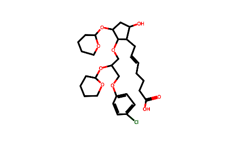 O=C(O)CCCC=CCC1C(O)CC(OC2CCCCO2)C1OCC(COc1ccc(Cl)cc1)OC1CCCCO1